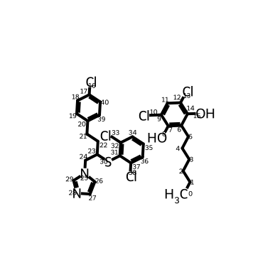 CCCCCCc1c(O)c(Cl)cc(Cl)c1O.Clc1ccc(CCC(Cn2ccnc2)Sc2c(Cl)cccc2Cl)cc1